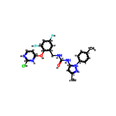 Cc1ccc(-n2nc(C(C)(C)C)cc2NC(=O)NCc2cc(F)cc(F)c2Oc2ccnc(Cl)n2)cc1